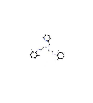 Cc1cccc(C)c1NCCN(CCNc1c(C)cccc1C)Cc1ccccn1.[Cl-].[Cl-].[Rh+2]